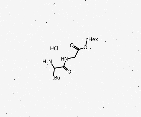 CCCCCCOC(=O)CNC(=O)C(N)C(C)(C)C.Cl